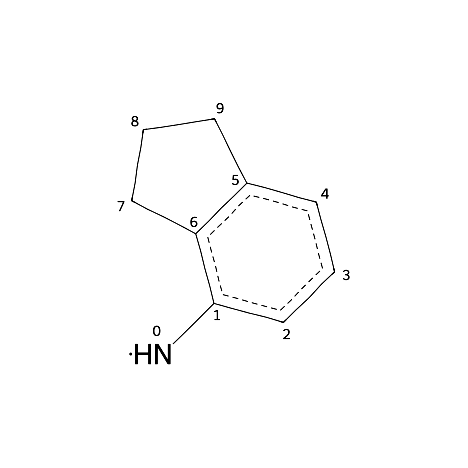 [NH]c1cccc2c1CCC2